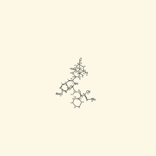 COc1ccc(C[C@H](NC(=O)OC[C@H]2CCCCN2C(=O)C(C#N)=CC(C)(C)C)B2O[C@@H]3C[C@@H]4C[C@@H](C4(C)C)[C@]3(C)O2)cc1